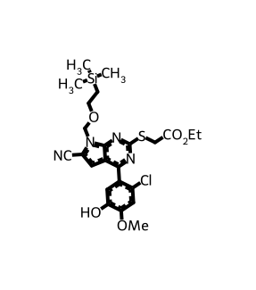 CCOC(=O)CSc1nc(-c2cc(O)c(OC)cc2Cl)c2cc(C#N)n(COCC[Si](C)(C)C)c2n1